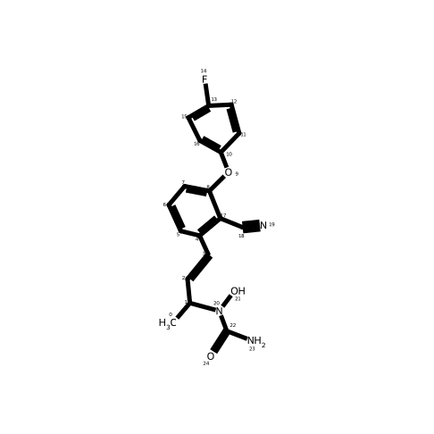 CC(C=Cc1cccc(Oc2ccc(F)cc2)c1C#N)N(O)C(N)=O